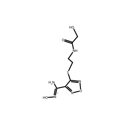 N/C(=N\O)c1nonc1SCCNC(=O)CO